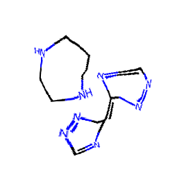 C1=NC(=C2N=CN=N2)N=N1.C1CNCCNC1